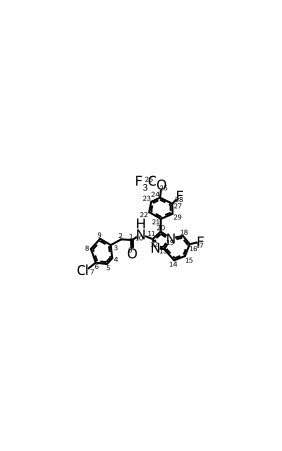 O=C(Cc1ccc(Cl)cc1)Nc1nc2ccc(F)cn2c1-c1ccc(OC(F)(F)F)c(F)c1